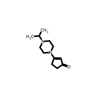 CC(C)N1CCN(C2=CC(=O)CC2)CC1